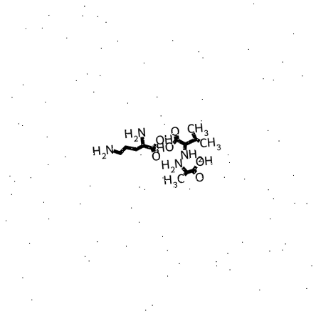 CC(C)C(N)C(=O)O.CC(N)C(=O)O.NCCCC(N)C(=O)O